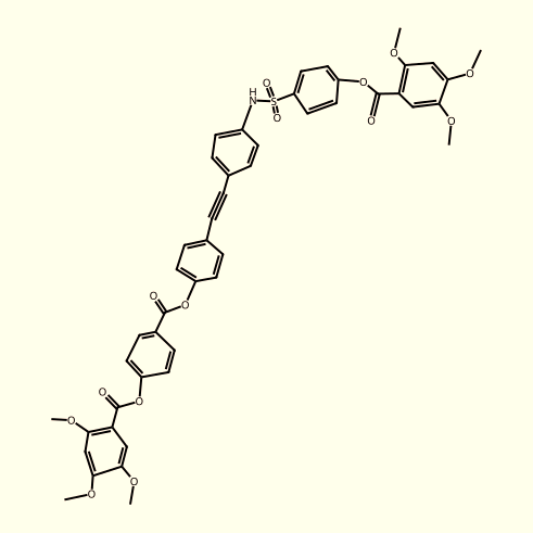 COc1cc(OC)c(C(=O)Oc2ccc(C(=O)Oc3ccc(C#Cc4ccc(NS(=O)(=O)c5ccc(OC(=O)c6cc(OC)c(OC)cc6OC)cc5)cc4)cc3)cc2)cc1OC